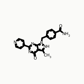 Cc1[nH]n(Cc2ccc(C(N)=O)cc2)c2nc(-c3ccncc3)nc(=O)c1-2